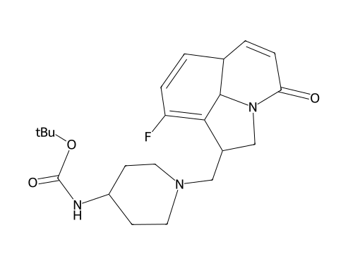 CC(C)(C)OC(=O)NC1CCN(CC2CN3C(=O)C=CC4C=CC(F)=C2C43)CC1